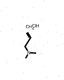 C.C=CCN(C)C.Cl